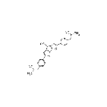 CCCn1c2cc(-c3ccc(/C=C(/C)C#N)cc3)sc2c2sc(-c3ccc(/C=C(/C)C#N)cc3)cc21